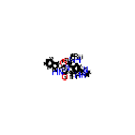 CC(C)C[C@@H]1C(=O)N[C@H](C2Cc3ccccc3C2)C(=O)N1C(C(=O)NC(C)(C)C)c1ccc(-c2ncc[nH]2)cc1